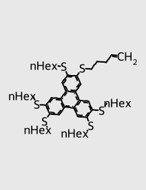 C=CCCCSc1cc2c(cc1SCCCCCC)c1cc(SCCCCCC)c(SCCCCCC)cc1c1cc(SCCCCCC)c(SCCCCCC)cc21